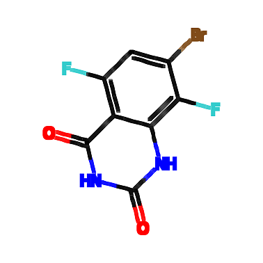 O=c1[nH]c(=O)c2c(F)cc(Br)c(F)c2[nH]1